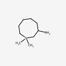 C[Si]1(C)CCCCCC(N)C1